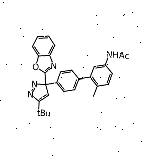 CC(=O)Nc1ccc(C)c(-c2ccc(C3(c4nc5ccccc5o4)C=C(C(C)(C)C)N=N3)cc2)c1